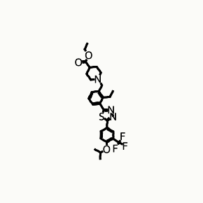 CCOC(=O)C1CCN(Cc2cccc(-c3nnc(-c4ccc(OC(C)C)c(C(F)(F)F)c4)s3)c2CC)CC1